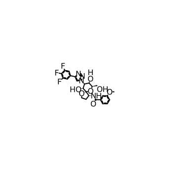 COc1cccc(C(=O)N[C@@H]2CCO[C@]23O[C@H](CO)[C@H](O)[C@H](n2cc(-c4cc(F)c(F)c(F)c4)nn2)[C@H]3O)c1